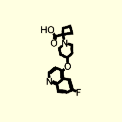 O=C(O)C1(N2CCC(Oc3ccnc4ccc(F)cc34)CC2)CCC1